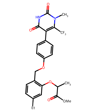 CCc1ccc(COc2ccc(-c3c(C(F)(F)F)n(C)c(=O)[nH]c3=O)cc2)c(OC(C)C(=O)OC)c1